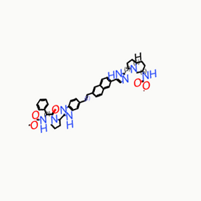 COC(=O)N[C@H]1CC[C@H]2CC[C@@H](c3ncc(-c4ccc5cc(/C=C/c6ccc7nc(C8CCCN8C(=O)[C@H](NC(=O)OC)c8ccccc8)[nH]c7c6)ccc5c4)[nH]3)N2C1